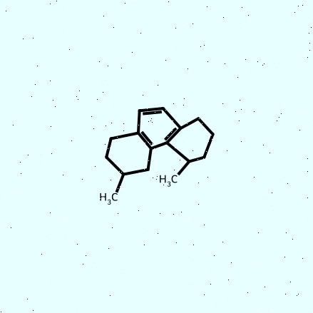 CC1CCc2ccc3c(c2C1)C(C)CCC3